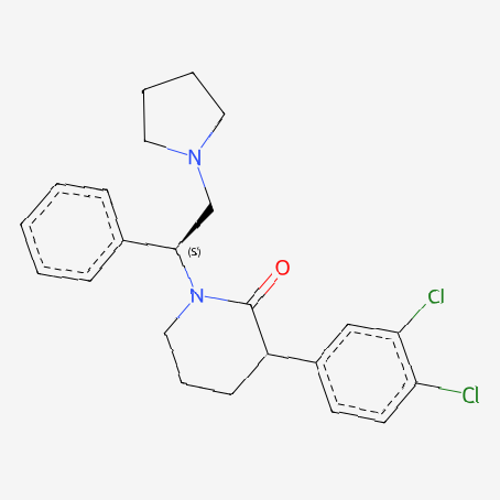 O=C1C(c2ccc(Cl)c(Cl)c2)CCCN1[C@H](CN1CCCC1)c1ccccc1